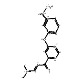 CN(C)/C=N/C(=O)c1cc(Oc2cccc(NC(=O)O)c2)ncn1